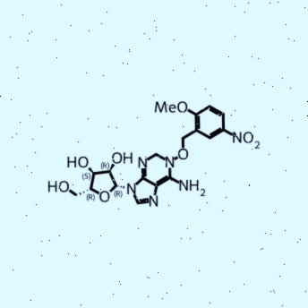 COc1ccc([N+](=O)[O-])cc1CON1CN=c2c(ncn2[C@@H]2O[C@H](CO)[C@@H](O)[C@H]2O)=C1N